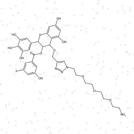 NCCOCCOCCOCCn1cc(COC2c3c(O)cc(O)cc3OC(c3cc(O)c(O)c(O)c3)C2OC(=O)c2cc(O)cc(F)c2)nn1